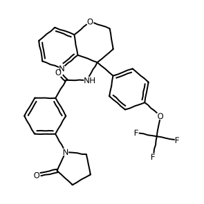 O=C(NC1(c2ccc(OC(F)(F)F)cc2)CCOc2cccnc21)c1cccc(N2CCCC2=O)c1